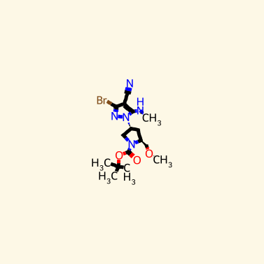 CNc1c(C#N)c(Br)nn1[C@@H]1C[C@@H](COC)N(C(=O)OC(C)(C)C)C1